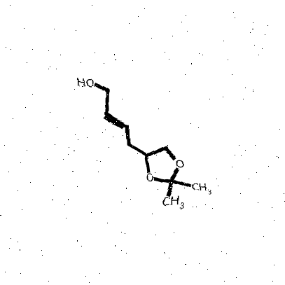 CC1(C)OCC(C/C=C/CO)O1